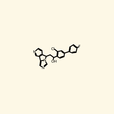 OC(CC1c2ccncc2-c2cncn21)c1ccc(-c2ccc(F)cc2)cc1Cl